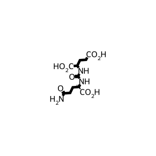 NC(=O)CC[C@H](NC(=O)NC(CCC(=O)O)C(=O)O)C(=O)O